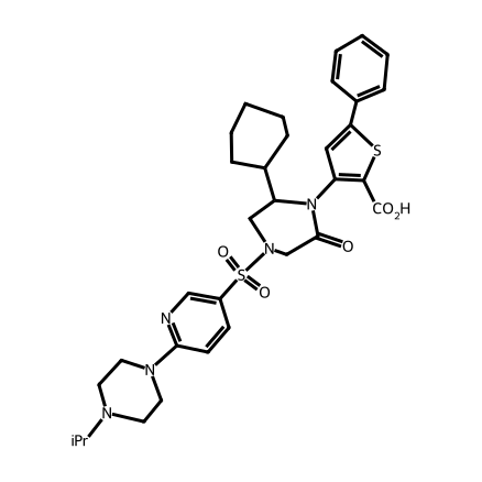 CC(C)N1CCN(c2ccc(S(=O)(=O)N3CC(=O)N(c4cc(-c5ccccc5)sc4C(=O)O)C(C4CCCCC4)C3)cn2)CC1